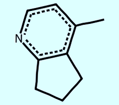 Cc1ccnc2c1CCC2